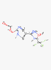 O=COc1ncc(-c2noc(C(F)(F)F)n2)cn1